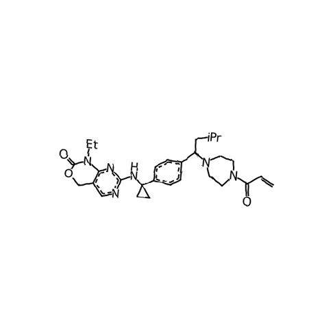 C=CC(=O)N1CCN(C(CC(C)C)c2ccc(C3(Nc4ncc5c(n4)N(CC)C(=O)OC5)CC3)cc2)CC1